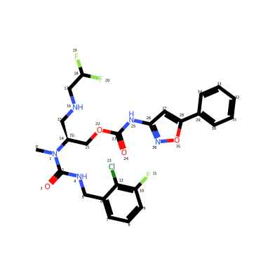 CN(C(=O)NCc1cccc(F)c1Cl)[C@@H](CNCC(F)F)COC(=O)Nc1cc(-c2ccccc2)on1